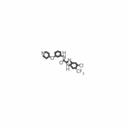 O=C(Nc1cccc(Oc2ccncc2)c1)c1nc2cc(Cl)c(C(F)(F)F)cc2[nH]1